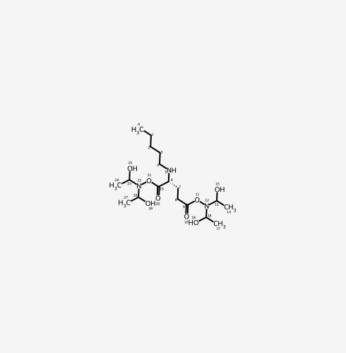 CCCCCN[C@H](CCC(=O)ON(C(C)O)C(C)O)C(=O)ON(C(C)O)C(C)O